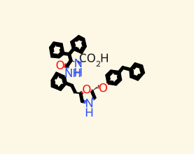 O=C(O)N[C@H](C(=O)Nc1ccccc1CC[C@@H]1CNC[C@@H](COc2ccc(Cc3ccccc3)cc2)O1)C(c1ccccc1)c1ccccc1